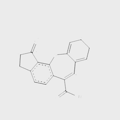 O=C(O)C1=CC2=CCCC=C2Sc2c1ccc1c2C(=O)CC1